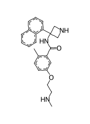 CNCCOc1ccc(C)c(C(=O)NC2(c3cccc4ccccc34)CNC2)c1